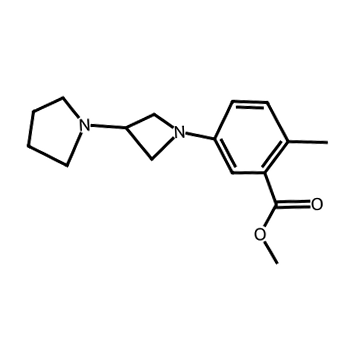 COC(=O)c1cc(N2CC(N3CCCC3)C2)ccc1C